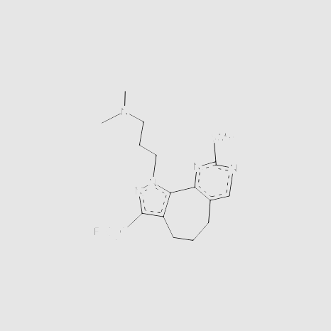 CCOC(=O)c1nn(CCCN(C)C)c2c1CCCc1cnc(SC)nc1-2